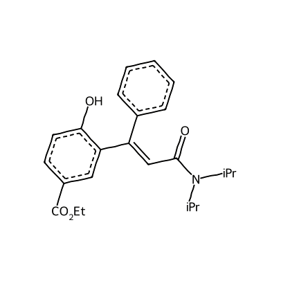 CCOC(=O)c1ccc(O)c(C(=CC(=O)N(C(C)C)C(C)C)c2ccccc2)c1